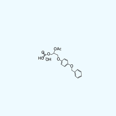 CC(=O)OC(COc1ccc(OCc2ccccc2)cc1)COP(=O)(O)O